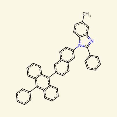 Cc1ccc2c(c1)nc(-c1ccccc1)n2-c1ccc2cc(-c3c4ccccc4c(-c4ccccc4)c4ccccc34)ccc2c1